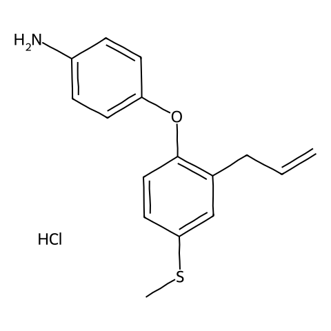 C=CCc1cc(SC)ccc1Oc1ccc(N)cc1.Cl